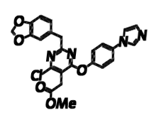 COC(=O)Cc1c(Cl)nc(Cc2ccc3c(c2)OCO3)nc1Oc1ccc(-n2ccnc2)cc1